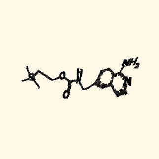 C[Si](C)(C)CCOC(=O)NCc1ccc2c(N)nccc2c1